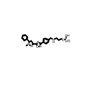 CN1N=C(c2nc(-c3ccc(CNCCCO[PH](=O)O)cc3)no2)CC1c1ccccc1